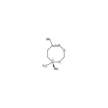 CC(C)(C)/C1=N/OCO[C@@](C)(C(C)(C)C)CC1